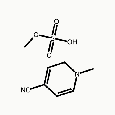 CN1C=CC(C#N)=CC1.COS(=O)(=O)O